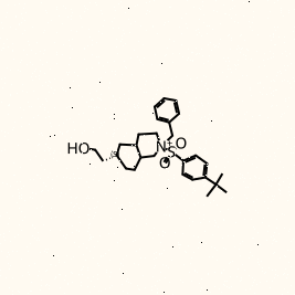 CC(C)(C)c1ccc(S(=O)(=O)[N+]2(Cc3ccccc3)CCC3C[C@@H](CCO)CCC3C2)cc1